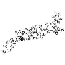 CS[C@H]1CC[C@@](O)(CCNC23CCC[C@@H]2C2CCC4C5(C)CC=C(C6=CCC(COc7ccccn7)(C(=O)O)CC6)C(C)(C)C5CCC4(C)[C@]2(C)CC3)CC1